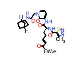 COC(=O)/C=C/CC[C@H](NC(=O)c1snnc1C)C(=O)Nc1cccn(CC(=O)N[C@@H]2C[C@@H]3CC[C@H]2C3)c1=O